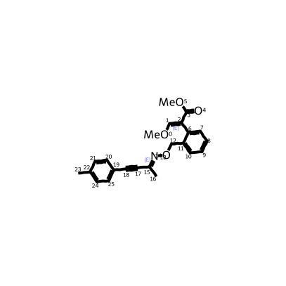 CO/C=C(/C(=O)OC)c1ccccc1CO/N=C(\C)C#Cc1ccc(C)cc1